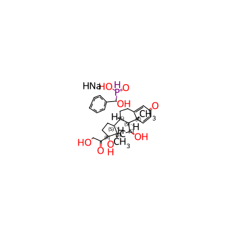 C[C@]12C=CC(=O)C=C1CC[C@@H]1[C@@H]2[C@@H](O)C[C@@]2(C)[C@H]1CC[C@]2(O)C(=O)CO.O=[PH](O)C(O)c1ccccc1.[NaH]